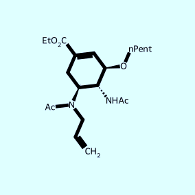 C=CCN(C(C)=O)[C@H]1CC(C(=O)OCC)=C[C@@H](OCCCCC)[C@@H]1NC(C)=O